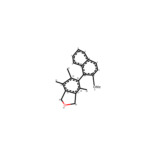 COc1ccc2ccccc2c1-c1c(C)c(C)c2c(c1C)COC2